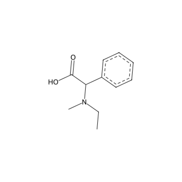 CCN(C)C(C(=O)O)c1ccccc1